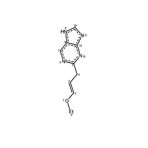 CCOC=CCc1ncc2[nH]cnc2n1